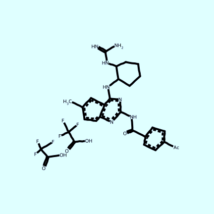 CC(=O)c1ccc(C(=O)Nc2nc(NC3CCCCC3NC(=N)N)c3cc(C)ccc3n2)cc1.O=C(O)C(F)(F)F.O=C(O)C(F)(F)F